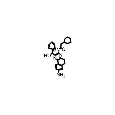 Nc1ccc2c(c1)CCc1nc(NC(=O)CC3CCCCC3)c(C(O)c3ccccc3)nc1-2